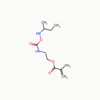 C=C(C)C(=O)OCCNC(=O)ONC(C)CC